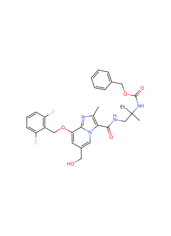 CCC(C)(CNC(=O)c1c(C)nc2c(OCc3c(F)cccc3F)cc(CO)cn12)NC(=O)OCc1ccccc1